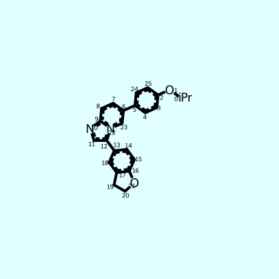 CC(C)Oc1ccc(-c2ccc3ncc(-c4ccc5c(c4)CCO5)n3c2)cc1